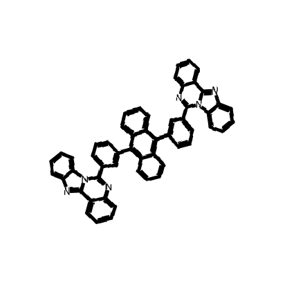 c1cc(-c2c3ccccc3c(-c3cccc(-c4nc5ccccc5c5nc6ccccc6n45)c3)c3ccccc23)cc(-c2nc3ccccc3c3nc4ccccc4n23)c1